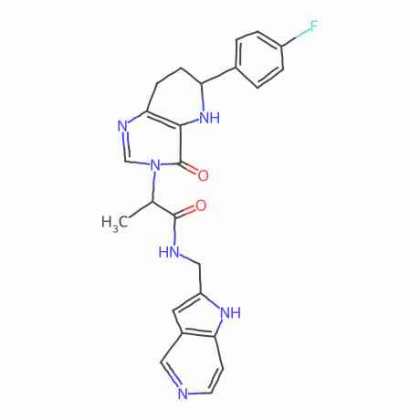 CC(C(=O)NCc1cc2cnccc2[nH]1)n1cnc2c(c1=O)NC(c1ccc(F)cc1)CC2